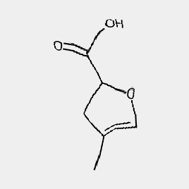 CC1=COC(C(=O)O)C1